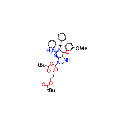 COc1ccc(C(c2ccccc2)(c2ccccc2)n2c(N)nc3c(c2=O)NCN3C(OCCCOC(=O)C(C)(C)C)OC(=O)C(C)(C)C)cc1